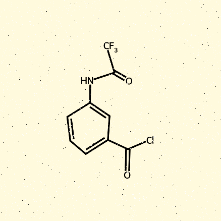 O=C(Cl)c1cccc(NC(=O)C(F)(F)F)c1